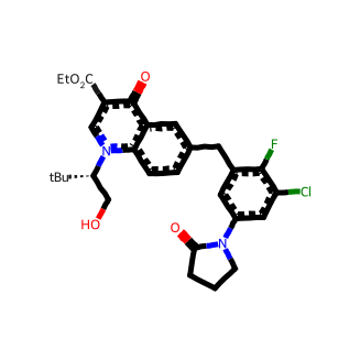 CCOC(=O)c1cn([C@H](CO)C(C)(C)C)c2ccc(Cc3cc(N4CCCC4=O)cc(Cl)c3F)cc2c1=O